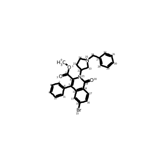 COC(=O)c1c(-c2ccccc2)c2cc(Br)ccc2c(=O)n1C1CCN(Cc2ccccc2)C1